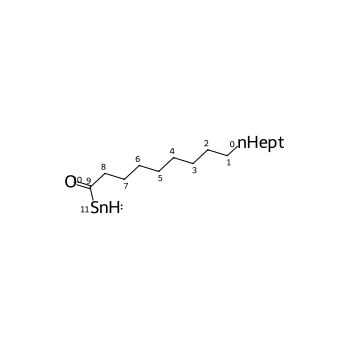 CCCCCCCCCCCCCCC[C](=O)[SnH]